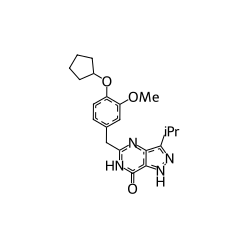 COc1cc(Cc2nc3c(C(C)C)n[nH]c3c(=O)[nH]2)ccc1OC1CCCC1